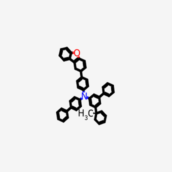 C[C@@]1(c2cc(-c3ccccc3)cc(N(c3ccc(-c4ccccc4)cc3)c3ccc(C4C=Cc5oc6ccccc6c5C4)cc3)c2)C=CC=CC1